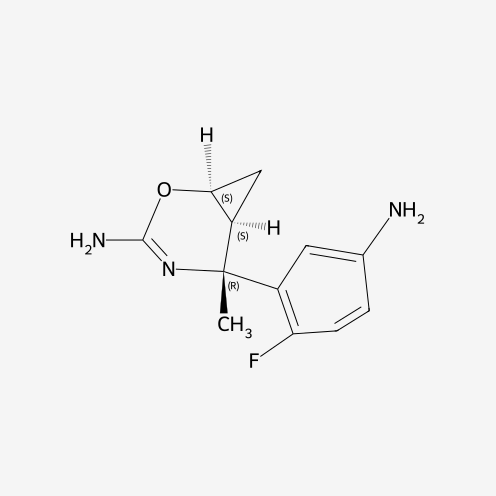 C[C@@]1(c2cc(N)ccc2F)N=C(N)O[C@H]2C[C@H]21